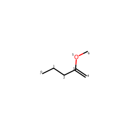 [CH2]CCC(=C)OC